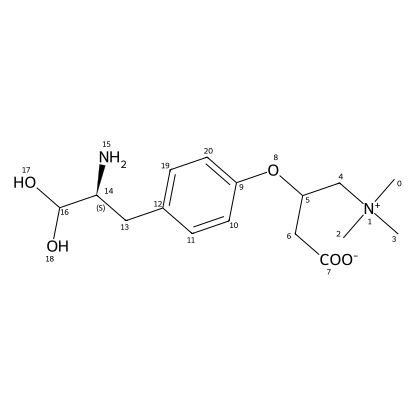 C[N+](C)(C)CC(CC(=O)[O-])Oc1ccc(C[C@H](N)C(O)O)cc1